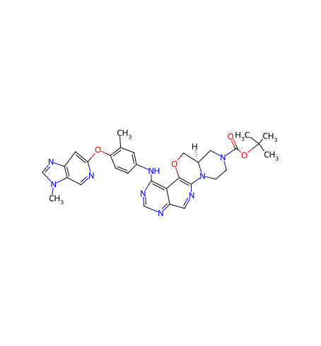 Cc1cc(Nc2ncnc3cnc4c(c23)OC[C@H]2CN(C(=O)OC(C)(C)C)CCN42)ccc1Oc1cc2ncn(C)c2cn1